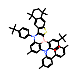 Cc1ccc(-c2ccc(C)cc2N2c3ccc(C(C)(C)C)cc3B3c4sc5cc6c(cc5c4N(c4ccc(C(C)(C)C)cc4)c4cc(C)cc2c43)C(C)(C)CCC6(C)C)cc1